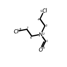 O=CN(CCCl)CCCl